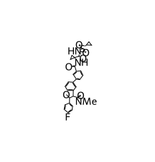 CNC(=O)C1c2cc(-c3cccc(C(=O)NC4(C(=O)NS(=O)(=O)C5CC5)CC4)c3)ccc2OC1c1ccc(F)cc1